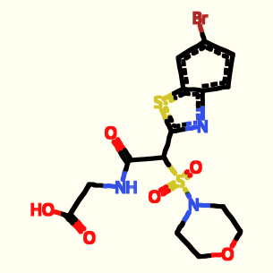 O=C(O)CNC(=O)C(c1nc2ccc(Br)cc2s1)S(=O)(=O)N1CCOCC1